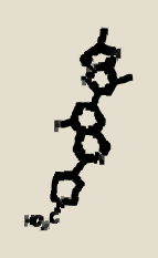 Cc1cn2nc(-c3cc(F)c4cc(C5=CCN(C(=O)O)CC5)ncc4c3)cc(C)c2n1